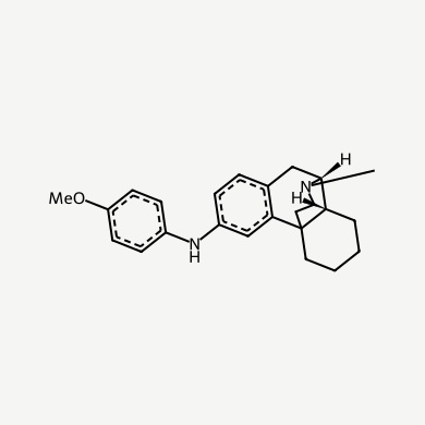 COc1ccc(Nc2ccc3c(c2)C24CCCC[C@H]2[C@@H](C3)N(C)CC4)cc1